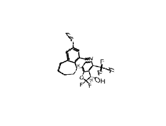 N#Cc1cc(F)cc2c1[C@H](c1ccc(C(F)(F)F)c3c1OC(F)(F)[C@H]3O)CCCC2